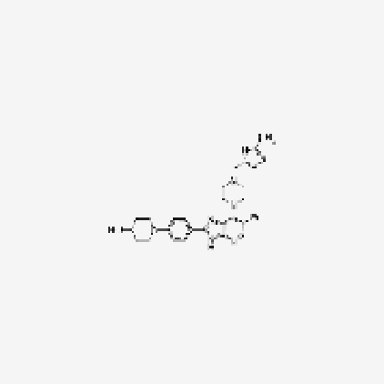 Cc1nc(CN2CCN(c3c(Br)cnc4[nH]c(-c5ccc(N6CCC(O)CC6)cc5)nc34)CC2)cs1